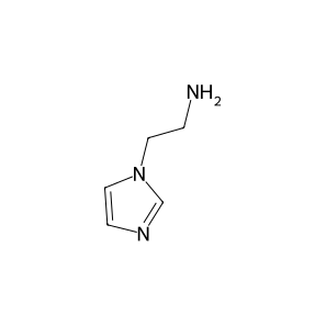 NCCn1ccnc1